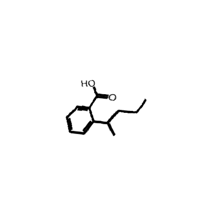 CCCC(C)c1ccccc1C(=O)O